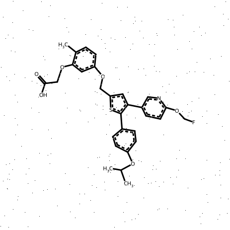 Cc1ccc(OCc2cc(-c3ccc(OCF)nc3)c(-c3ccc(OC(C)C)cc3)s2)cc1OCC(=O)O